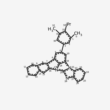 Cc1cc(-c2cc3c4cc5ccccc5cc4n4c3c(c2)n2c3ccccc3nc24)cc(C)c1C(C)C